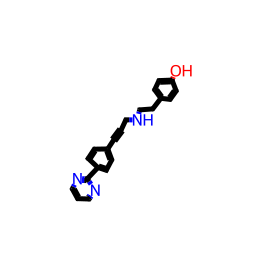 Oc1ccc(CCNCC#Cc2ccc(-c3ncccn3)cc2)cc1